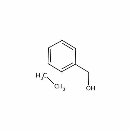 CC.OCc1ccccc1